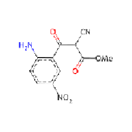 COC(=O)C(C#N)C(=O)c1cc([N+](=O)[O-])ccc1N